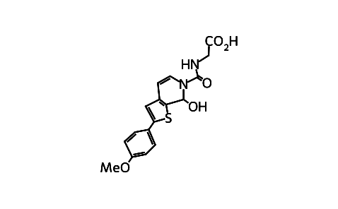 COc1ccc(-c2cc3c(s2)C(O)N(C(=O)NCC(=O)O)C=C3)cc1